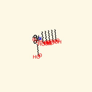 CCCCCCCCCC(=O)O.CCCCCCCCCC(=O)O.CCCCCCCCCC(=O)O.CCCCCCCCCC(=O)O.CCCCCCCCCC(=O)O.CCCCCCCCCC(=O)O.Cc1cccc2c1Oc1ccccc1[C@]1(O)CCN(C)C[C@H]21